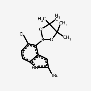 CC(C)(C)c1cc2c(B3OC(C)(C)C(C)(C)O3)c(Cl)ccc2[nH]1